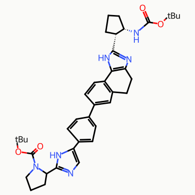 CC(C)(C)OC(=O)N[C@H]1CCC[C@H]1c1nc2c([nH]1)-c1ccc(-c3ccc(-c4cnc(C5CCCN5C(=O)OC(C)(C)C)[nH]4)cc3)cc1CC2